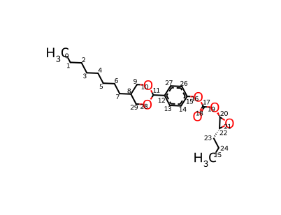 CCCCCCCCC1COC(c2ccc(OC(=O)O[C@H]3O[C@@H]3CCC)cc2)OC1